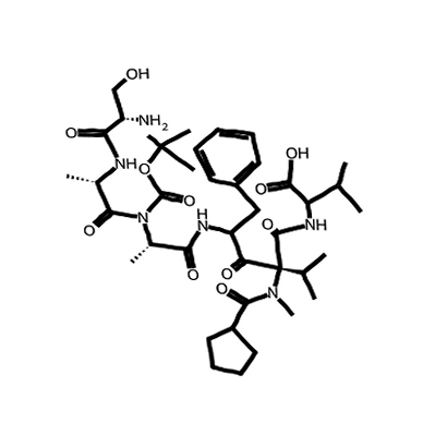 CC(C)C(NC(=O)[C@](C(=O)C(Cc1ccccc1)NC(=O)[C@H](C)N(C(=O)OC(C)(C)C)C(=O)[C@H](C)NC(=O)[C@@H](N)CO)(C(C)C)N(C)C(=O)C1CCCC1)C(=O)O